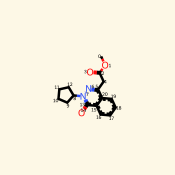 COC(=O)Cc1nn(C2CCCC2)c(=O)c2ccccc12